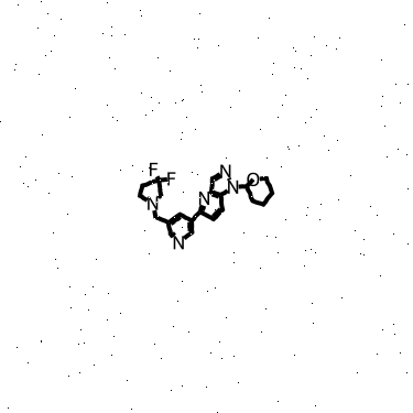 FC1(F)CCN(Cc2cncc(-c3ccc4c(cnn4C4CCCCO4)n3)c2)C1